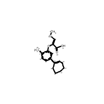 CO/C=C(\Oc1cc(C2=CCCCCC2)ccc1C)C(=O)O